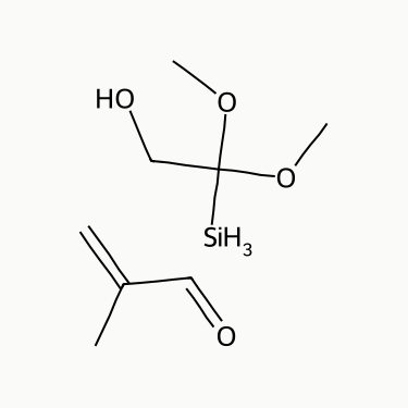 C=C(C)C=O.COC([SiH3])(CO)OC